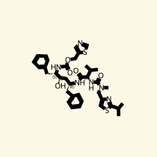 CC(C)c1nc(CN(C)C(=O)N[C@@H](C(=O)N[C@H](Cc2ccccc2)C[C@H](O)[C@H](Cc2ccccc2)NC(=O)OCc2cncs2)C(C)C)cs1